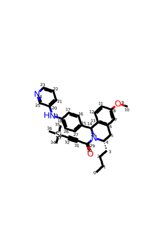 CCCC[C@H]1Cc2cc(OC)ccc2C(c2ccc(Nc3cccnc3)cc2)N1C(=O)C#C[Si](C)(C)C